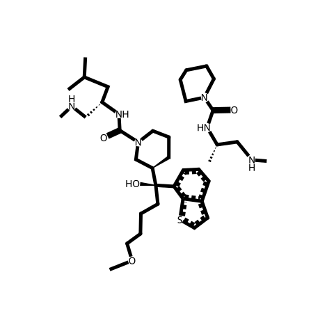 CNC[C@H](C)NC(=O)N1CCCCC1.CNC[C@H](CC(C)C)NC(=O)N1CCC[C@@H]([C@@](O)(CCCCOC)c2cccc3ccsc23)C1